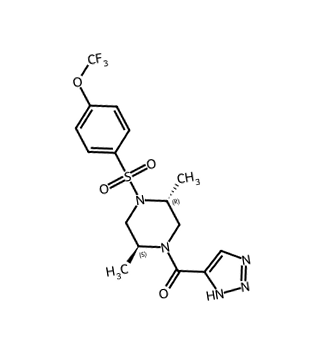 C[C@@H]1CN(C(=O)c2cnn[nH]2)[C@@H](C)CN1S(=O)(=O)c1ccc(OC(F)(F)F)cc1